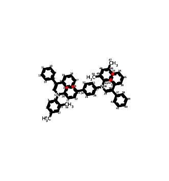 Cc1ccc(N(C=C(c2ccccc2)c2ccccc2)c2ccc(-c3ccc(N(C=C(c4ccccc4)c4ccccc4)c4ccc(C)cc4C)cc3)cc2)c(C)c1